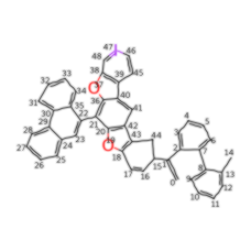 C=C(c1ccccc1-c1ccccc1C)C1C=Cc2oc3c(-c4cc5ccccc5c5ccccc45)c4oc5c(c4cc3c2C1)C=CI=C5